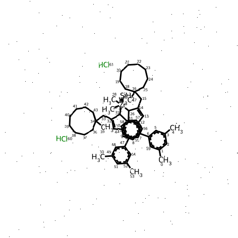 Cc1cc(C)cc(-c2cccc3c2C=C(CC2(C)CCCCCCCC2)[CH]3[Zr]([CH3])([CH3])(=[SiH2])[CH]2C(CC3(C)CCCCCCCC3)=Cc3c(-c4cc(C)cc(C)c4)cccc32)c1.Cl.Cl